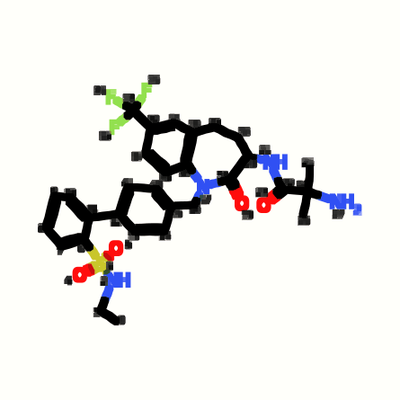 CCNS(=O)(=O)c1ccccc1-c1ccc(CN2C(=O)[C@H](NC(=O)C(C)(C)N)CCc3cc(C(F)(F)F)ccc32)cc1